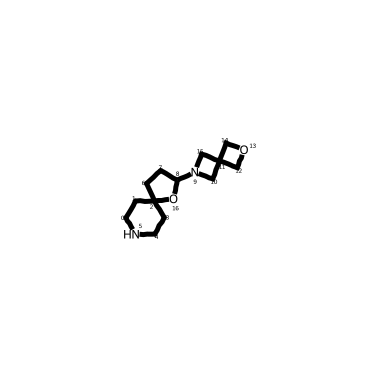 C1CC2(CCN1)CCC(N1CC3(COC3)C1)O2